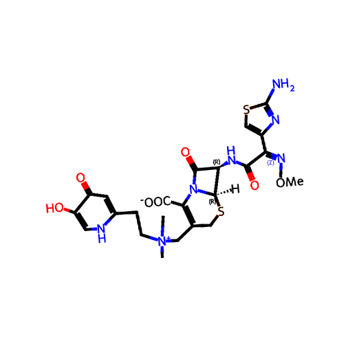 CO/N=C(\C(=O)N[C@@H]1C(=O)N2C(C(=O)[O-])=C(C[N+](C)(C)CCc3cc(=O)c(O)c[nH]3)CS[C@H]12)c1csc(N)n1